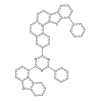 c1ccc(-c2nc(-c3ccc4c(ccc5ccc6c7cccc(-c8ccccc8)c7sc6c54)c3)nc(-c3cccc4oc5ccccc5c34)n2)cc1